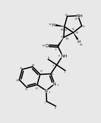 CCn1nc(C(C)(C)NC(=O)[C@H]2[C@@H]3CNC[C@@H]32)c2ccccc21